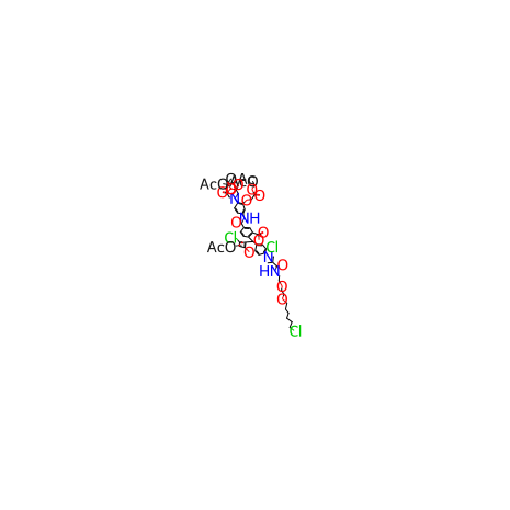 CC(=O)OCOC(=O)COc1cc(NC(=O)c2ccc3c(c2)C(=O)OC32c3cc(Cl)c(OC(C)=O)cc3Oc3cc(N4CC(C(=O)NCCOCCOCCCCCCCl)C4)c(Cl)cc32)ccc1N(CC(=O)OCOC(C)=O)CC(=O)OCOC(C)=O